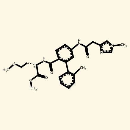 COC(=O)[C@H](CCSC)NC(=O)c1ccc(NC(=O)Cc2cn(C)cn2)cc1-c1ccccc1C